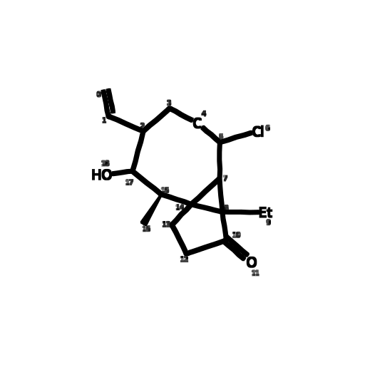 C=CC1CCC(Cl)C2C3(CC)C(=O)CCC23[C@@H](C)C1O